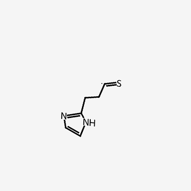 S=[C]CCc1ncc[nH]1